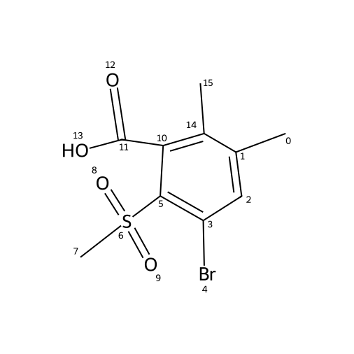 Cc1cc(Br)c(S(C)(=O)=O)c(C(=O)O)c1C